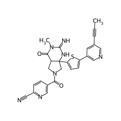 CC#Cc1cncc(-c2ccc(C34CN(C(=O)c5ccc(C#N)nc5)CC3C(=O)N(C)C(=N)N4)s2)c1